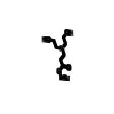 CCCCOC(=O)CCN(CCO)CCO